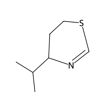 CC(C)C1CCSC=N1